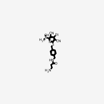 CCc1c(C#N)c(SCc2ccc(CNC(=O)CCN)cc2)nc(N(C)C)c1C#N